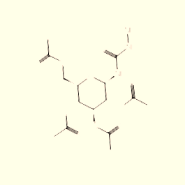 CC(=O)OC[C@H]1O[C@@H](NC(=S)NN)[C@H](OC(C)=O)[C@@H](OC(C)=O)[C@@H]1OC(C)=O